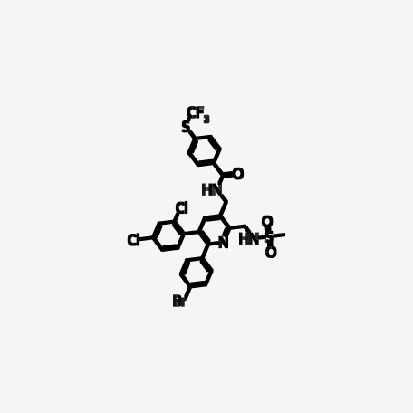 CS(=O)(=O)NCc1nc(-c2ccc(Br)cc2)c(-c2ccc(Cl)cc2Cl)cc1CNC(=O)c1ccc(SC(F)(F)F)cc1